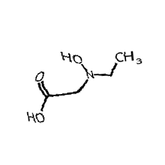 CCN(O)CC(=O)O